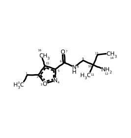 CCc1onc(C(=O)NCC(C)(N)CC)c1C